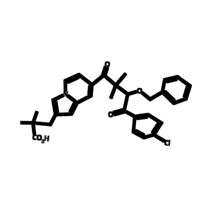 CC(C)(Cc1cc2cc(C(=O)C(C)(C)C(OCc3ccccc3)C(=O)c3ccc(Cl)cc3)ccn2c1)C(=O)O